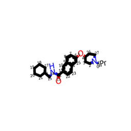 CC(C)N1CCC(Oc2ccc3cc(C(=O)NCC4CCCCC4)ccc3c2)CC1